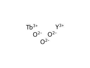 [O-2].[O-2].[O-2].[Tb+3].[Y+3]